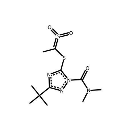 CC(Sc1nc(C(C)(C)C)nn1C(=O)N(C)C)=S(=O)=O